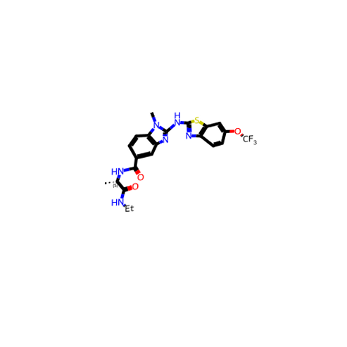 CCNC(=O)[C@H](C)NC(=O)c1ccc2c(c1)nc(Nc1nc3ccc(OC(F)(F)F)cc3s1)n2C